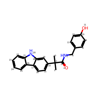 CC(C)(C(=O)NCc1ccc(O)cc1)c1ccc2c(c1)[nH]c1ccccc12